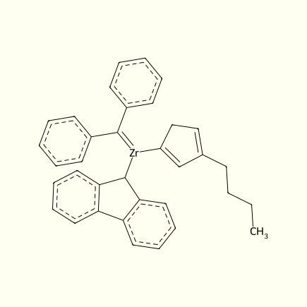 CCCCC1=CC[C]([Zr](=[C](c2ccccc2)c2ccccc2)[CH]2c3ccccc3-c3ccccc32)=C1